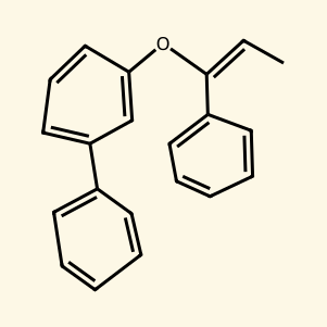 CC=C(Oc1cccc(-c2ccccc2)c1)c1ccccc1